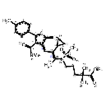 C=c1oc(-c2ccc(C)cc2)c(C(=O)NC)/c1=C/C(=C(\C)N(CCCC(C)(C)C(=O)OCC(C)C)S(C)(=O)=O)C1CC1